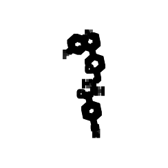 N#Cc1ccc(C(=O)NNCC2CCC(c3ccnc4ccc(F)cc34)CO2)cc1